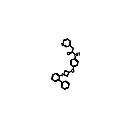 O=C(Cc1cccnc1)Nc1ccc(OC2CN(c3ccccc3-c3ccccc3)C2)cc1